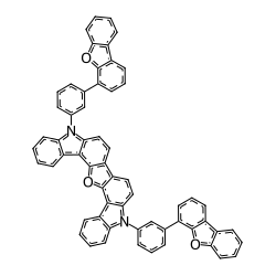 c1cc(-c2cccc3c2oc2ccccc23)cc(-n2c3ccccc3c3c4oc5c(ccc6c5c5ccccc5n6-c5cccc(-c6cccc7c6oc6ccccc67)c5)c4ccc32)c1